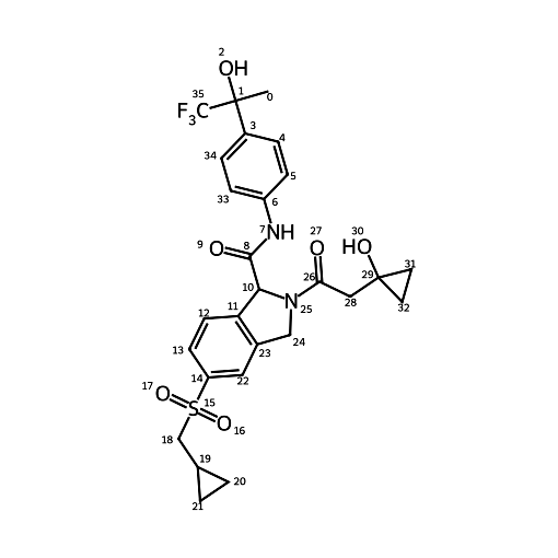 CC(O)(c1ccc(NC(=O)C2c3ccc(S(=O)(=O)CC4CC4)cc3CN2C(=O)CC2(O)CC2)cc1)C(F)(F)F